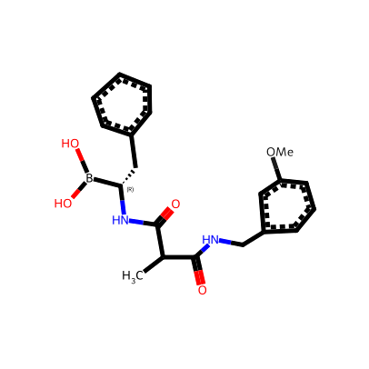 COc1cccc(CNC(=O)C(C)C(=O)N[C@@H](Cc2ccccc2)B(O)O)c1